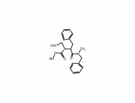 CN(Cc1ccccc1)C(=O)C(Cc1ccccc1)N(CC=O)C(=O)OC(C)(C)C